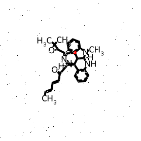 C/C=C/C=C/C(=O)N1CC[C@@]23c4ccccc4N[C@@H]4N(C)c5cccc6c5[C@@]42CCN([C@@H]13)[C@@H]6[C@H]1OC1(C)C